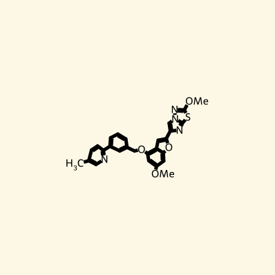 COc1cc(OCc2cccc(-c3ccc(C)cn3)c2)c2cc(-c3cn4nc(OC)sc4n3)oc2c1